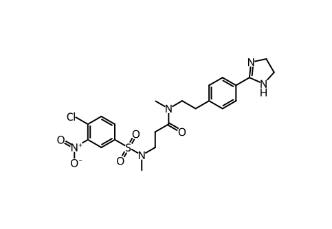 CN(CCc1ccc(C2=NCCN2)cc1)C(=O)CCN(C)S(=O)(=O)c1ccc(Cl)c([N+](=O)[O-])c1